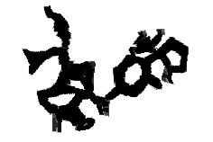 Cc1cc(Nc2nn([C@@H](CC#N)C3CC3)c3cc[nH]c(=O)c23)ccc1[C@@]1(C(F)(F)F)CCCN1